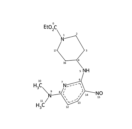 CCOC(=O)N1CCC(Nc2nc(N(C)C)ccc2N=O)CC1